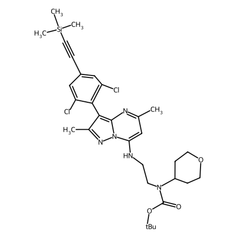 Cc1cc(NCCN(C(=O)OC(C)(C)C)C2CCOCC2)n2nc(C)c(-c3c(Cl)cc(C#C[Si](C)(C)C)cc3Cl)c2n1